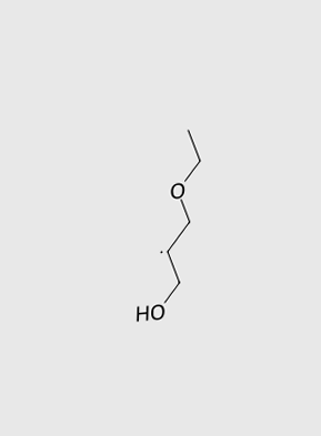 CCOC[CH]CO